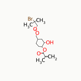 C=C(C)C(=O)OC1CCC(COOCC(C)(C)Br)CC1O